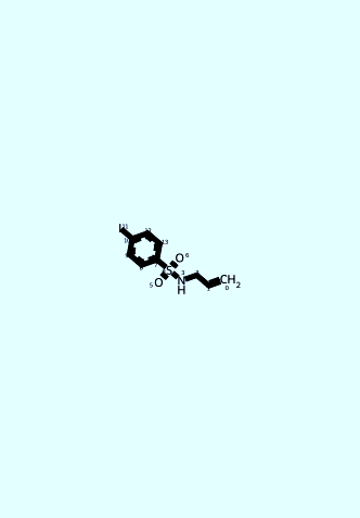 C=CCNS(=O)(=O)c1ccc(I)cc1